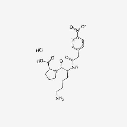 Cl.NCCCC[C@H](NC(=O)Cc1ccc([N+](=O)[O-])cc1)C(=O)N1CCC[C@H]1C(=O)O